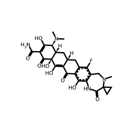 CN(C)[C@@H]1C(O)=C(C(N)=O)C(=O)[C@@]2(O)C(O)=C3C(=O)c4c(O)c5c(c(F)c4C[C@H]3C[C@@H]12)CN(C)C1(CC1)C(=O)N5